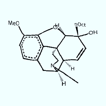 [CH2]CCCCCCC[C@@]1(O)C=C[C@H]2[C@H]3Cc4ccc(OC)c5c4[C@@]2(CCN3C)[C@H]1O5